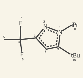 CC(C)n1nc(C(C)(F)F)cc1C(C)(C)C